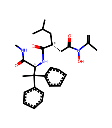 C=C(C)N(O)C(=O)C[C@@H](CC(C)C)C(=O)N[C@H](C(=O)NC)C(C)(c1ccccc1)c1ccccc1